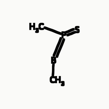 CB=P(C)=S